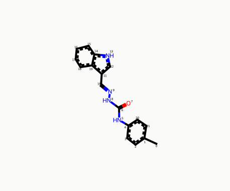 Cc1ccc(NC(=O)NN=Cc2c[nH]c3ccccc23)cc1